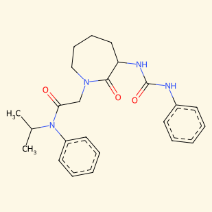 CC(C)N(C(=O)CN1CCCCC(NC(=O)Nc2ccccc2)C1=O)c1ccccc1